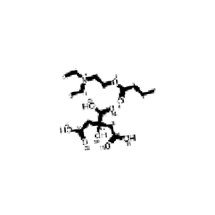 CCCC(=O)OCCN(CC)CC.O=C(O)CC(O)(CC(=O)O)C(=O)O